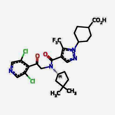 CC1(C)CC[C@@H](N(CC(=O)c2c(Cl)cncc2Cl)C(=O)c2cnn(C3CCC(C(=O)O)CC3)c2C(F)(F)F)C1